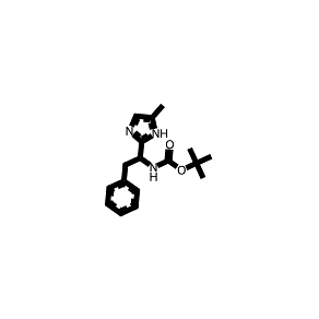 Cc1cnc(C(Cc2ccccc2)NC(=O)OC(C)(C)C)[nH]1